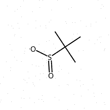 CC(C)(C)S([O])=O